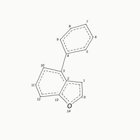 [c]1cc2c(-c3ccccc3)cccc2o1